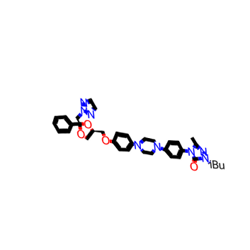 CCC(C)n1nc(C)n(-c2ccc(N3CCN(c4ccc(OC[C@H]5CO[C@](Cn6nccn6)(c6ccccc6)O5)cc4)CC3)cc2)c1=O